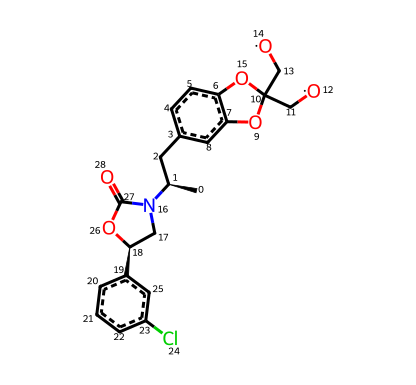 C[C@H](Cc1ccc2c(c1)OC(C[O])(C[O])O2)N1C[C@@H](c2cccc(Cl)c2)OC1=O